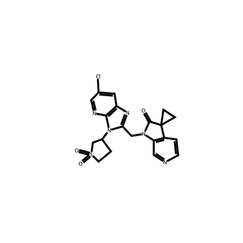 O=C1N(Cc2nc3cc(Cl)cnc3n2C2CCS(=O)(=O)C2)c2cnccc2C12CC2